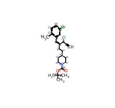 C#CC(Cl)/C(=C\c1cc(Br)ccc1C)CCC1CCN(C(=O)OC(C)(C)C)CC1